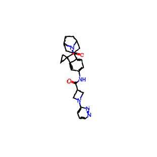 CC1(C(=O)N2C3CCC2CC(c2ccc(NC(=O)C4CN(c5cccnn5)C4)cc2)C3)CC1